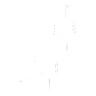 O=[N+]([O-])c1ccc(Oc2ccc(O)c(Br)c2)c(F)c1